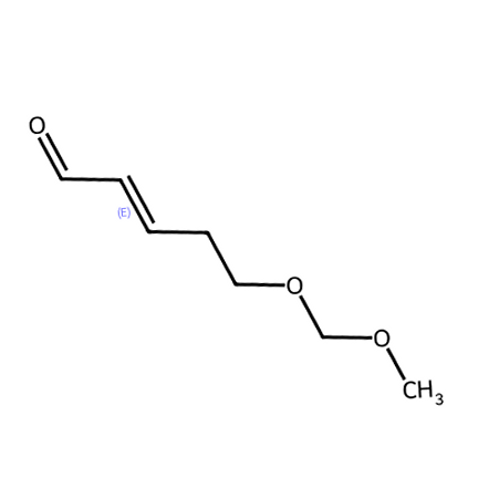 COCOCC/C=C/C=O